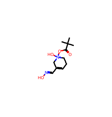 CC(C)(C)C(=O)O[N+]1(O)CCC=C(C=NO)C1